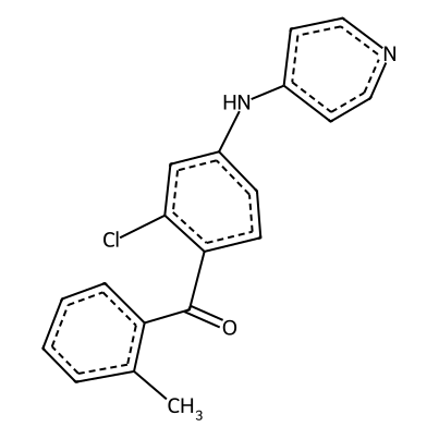 Cc1ccccc1C(=O)c1ccc(Nc2ccncc2)cc1Cl